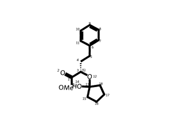 COC(=O)[C@H](CCc1ccccc1)OC1(O)CCCC1